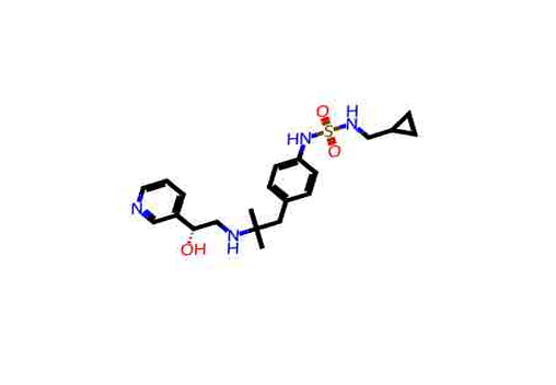 CC(C)(Cc1ccc(NS(=O)(=O)NCC2CC2)cc1)NC[C@H](O)c1cccnc1